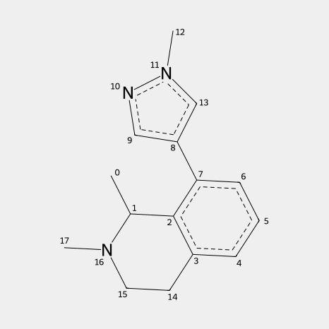 CC1c2c(cccc2-c2cnn(C)c2)CCN1C